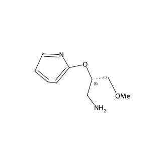 COC[C@H](CN)Oc1ccccn1